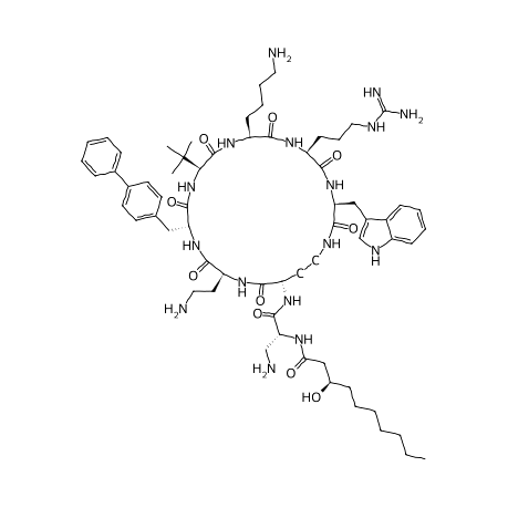 CCCCCCC[C@@H](O)CC(=O)N[C@H](CN)C(=O)N[C@H]1CCNC(=O)[C@H](Cc2c[nH]c3ccccc23)NC(=O)[C@H](CCCNC(=N)N)NC(=O)[C@H](CCCCN)NC(=O)[C@H](C(C)(C)C)NC(=O)[C@@H](Cc2ccc(-c3ccccc3)cc2)NC(=O)[C@H](CCN)NC1=O